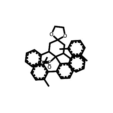 Cc1cccc(C)c1-c1cccc(-c2c(C)cccc2C)c1C1(P(=O)=O)C(c2ccccc2)CC2(CC1c1ccccc1)OCCO2